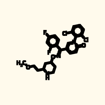 COCCC1CC(O/N=C(/c2ccc(=O)n(-c3c(Cl)cccc3Cl)c2)c2ccc(F)cc2F)CCN1